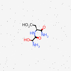 NC(=O)[C@H](CC(=O)O)NC(=O)[C@@H](N)O